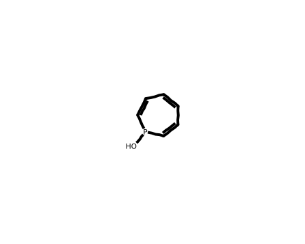 OP1C=CC=CC=C1